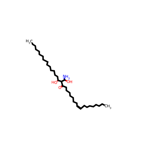 CCCCCCCC/C=C\CCCCCCCC(=O)C(C(N)O)C(O)CCCCCCCCCCCCCCC